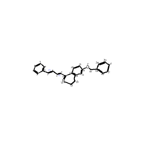 C(/C=C/c1ccccc1)=C\C1=NCCc2cc(OCc3ccccc3)ccc21